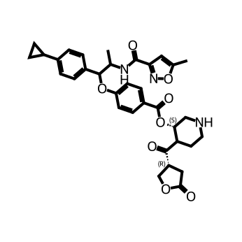 Cc1cc(C(=O)NC(C)C(Oc2ccc(C(=O)O[C@@H]3CNCCC3C(=O)[C@H]3COC(=O)C3)cc2)c2ccc(C3CC3)cc2)no1